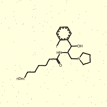 CCCCCCCCCCCCCCCC(=O)NC(CN1CCCC1)C(O)c1ccccc1I